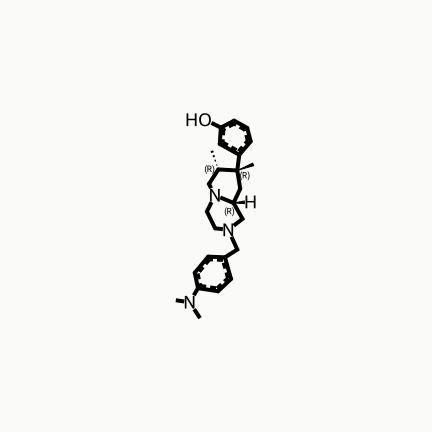 C[C@H]1CN2CCN(Cc3ccc(N(C)C)cc3)C[C@H]2C[C@@]1(C)c1cccc(O)c1